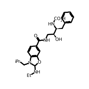 CCNC1Oc2cc(C(=O)NC[C@H](O)[C@H](Cc3ccccc3)NC(=O)O)ccc2N1CC(C)C